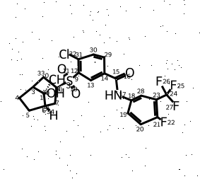 C[C@@]1(O)C2CC[C@H]1C[C@H](S(=O)(=O)c1cc(C(=O)Nc3ccc(F)c(C(F)(F)F)c3)ccc1Cl)C2